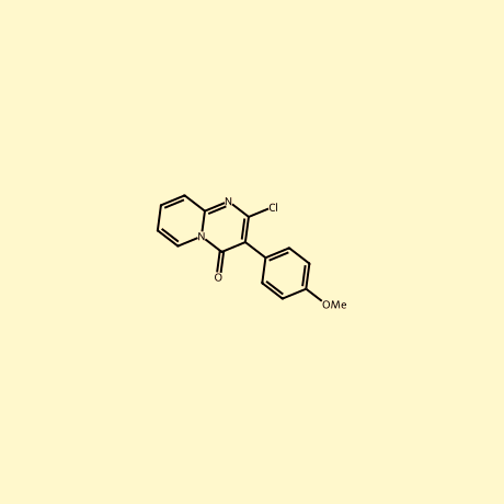 COc1ccc(-c2c(Cl)nc3ccccn3c2=O)cc1